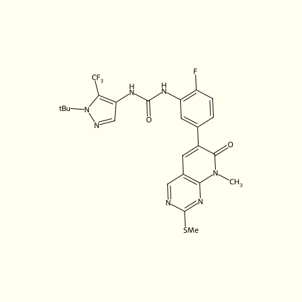 CSc1ncc2cc(-c3ccc(F)c(NC(=O)Nc4cnn(C(C)(C)C)c4C(F)(F)F)c3)c(=O)n(C)c2n1